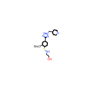 COc1cc(-c2nnn(Cc3ccncc3)n2)ccc1SNCCO